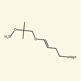 CCCCCCCCC/C=C/OCC(C)(C)O[SiH3]